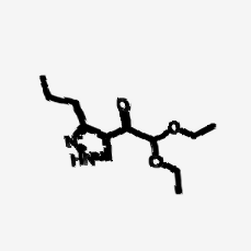 CCCc1n[nH]cc1C(=O)C(OCC)OCC